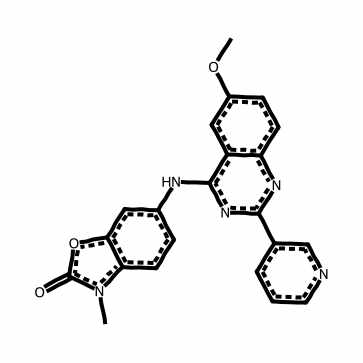 COc1ccc2nc(-c3cccnc3)nc(Nc3ccc4c(c3)oc(=O)n4C)c2c1